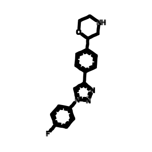 Fc1ccc(-n2cc(-c3ccc(C4CNCCO4)cc3)nn2)cc1